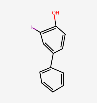 Oc1ccc(-c2ccccc2)cc1I